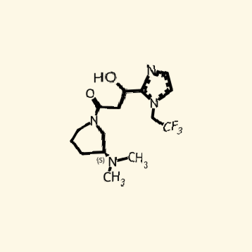 CN(C)[C@H]1CCCN(C(=O)CC(O)c2nccn2CC(F)(F)F)C1